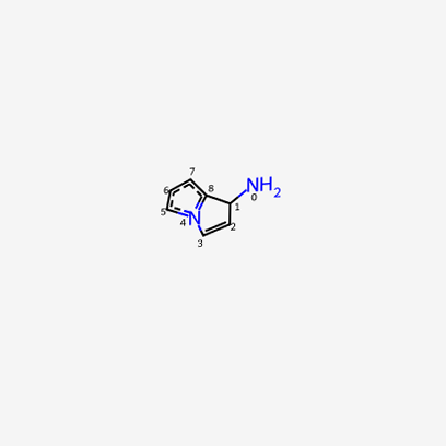 NC1C=Cn2cccc21